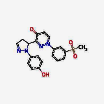 CS(=O)(=O)c1cccc(-n2ccc(=O)c(C3CC=NN3c3ccc(O)cc3)n2)c1